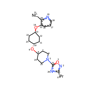 CC(C)c1noc(N2CCC(O[C@H]3CC[C@H](Oc4cccnc4C#N)CC3)CC2)n1